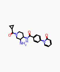 NC1CN(C(=O)C2CC2)CCC1NC(=O)c1ccc(-n2ccccc2=O)cc1